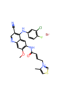 COc1cc2ncc(C#N)c(Nc3ccc(F)c(Cl)c3)c2cc1NC(=O)C=CC[n+]1cscc1C.[Br-]